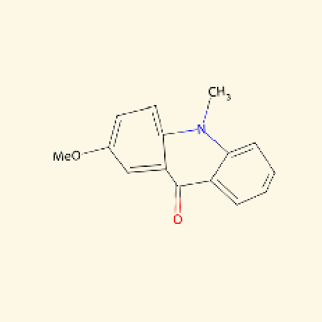 COc1ccc2c(c1)c(=O)c1ccccc1n2C